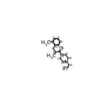 Cc1ccccc1CC(C)C(=O)N1CCN(CC(C)C)CC1